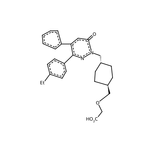 CCc1ccc(-c2nn(C[C@H]3CC[C@H](COCC(=O)O)CC3)c(=O)cc2-c2ccccc2)cc1